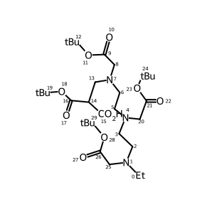 CCN(CCN(CCN(CC(=O)OC(C)(C)C)CC(C(=O)O)C(=O)OC(C)(C)C)CC(=O)OC(C)(C)C)CC(=O)OC(C)(C)C